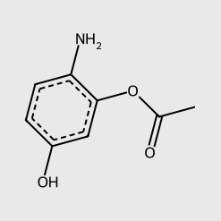 CC(=O)Oc1cc(O)ccc1N